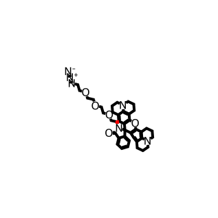 [N-]=[N+]=NCCOCCOCCOCCN1C(=O)c2ccccc2C12c1cc3c4c(c1Oc1c2cc2c5c1CCCN5CCC2)CCCN4CCC3